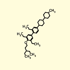 CCc1cc(C2CCC(C3CCC(C)CC3)CC2)ccc1-c1cc(CC)c(OCCC(CC)CC)c(CC)c1